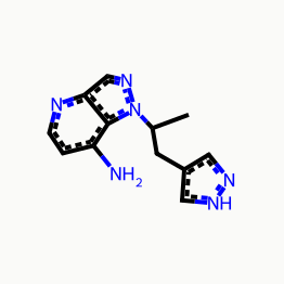 CC(Cc1cn[nH]c1)n1ncc2nccc(N)c21